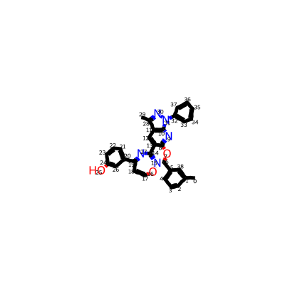 Cc1cccc(COc2nc3c(cc2C2=NOC=CC(c4cccc(O)c4)=N2)c(C)nn3-c2ccccc2)c1